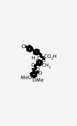 COc1cc2cc(C(=O)c3cc(C)c(OC(CCc4ccc(-c5ccc(Cl)cc5)cc4)C(=O)O)c(C)c3)oc(=O)c2cc1OC